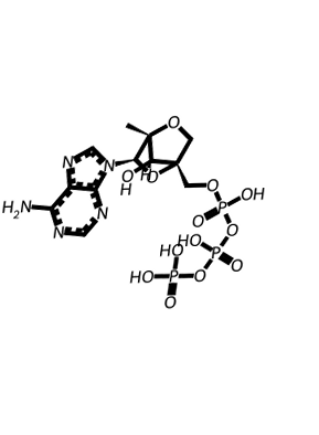 C[C@]12OC[C@](COP(=O)(O)OP(=O)(O)OP(=O)(O)O)(O[C@H]1n1cnc3c(N)ncnc31)[C@H]2O